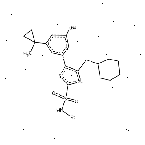 CCNS(=O)(=O)c1nc(CC2CCCCC2)c(-c2cc(C(C)(C)C)cc(C3(C)CC3)c2)s1